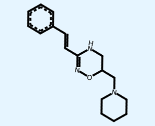 C(=Cc1ccccc1)C1=NOC(CN2CCCCC2)CN1